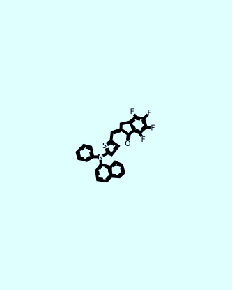 O=C1/C(=C\c2ccc(N(c3ccccc3)c3cccc4ccccc34)s2)Cc2c(F)c(F)c(F)c(F)c21